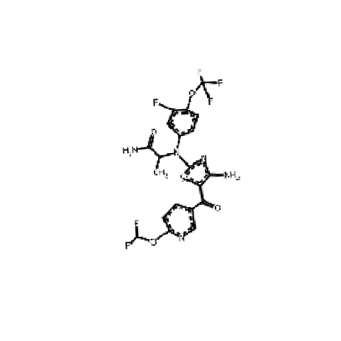 CC(C(N)=O)N(c1ccc(OC(F)(F)F)c(F)c1)c1nc(N)c(C(=O)c2ccc(OC(F)F)nc2)s1